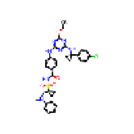 CN(CC1(S(=O)(=O)NC(=O)c2ccc(Nc3nc(NC4(c5ccc(Cl)cc5)CC4)nc(OCC(F)(F)F)n3)cc2)CC1)c1ccccc1